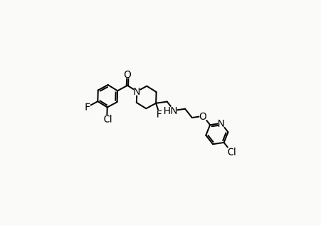 O=C(c1ccc(F)c(Cl)c1)N1CCC(F)(CNCCOc2ccc(Cl)cn2)CC1